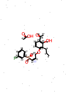 CC(=O)O.CCCc1c(OC/C=C\S(=O)(=O)c2cccc(F)c2)ccc(C(C)=O)c1O